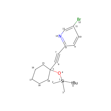 CC(C)(C)[Si](C)(C)OC1(C#Cc2ccc(Br)cn2)CCCCC1